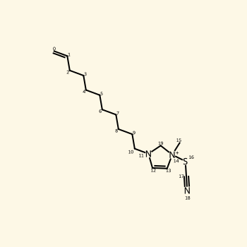 C=CCCCCCCCCCN1C=C[N+](C)(SC#N)C1